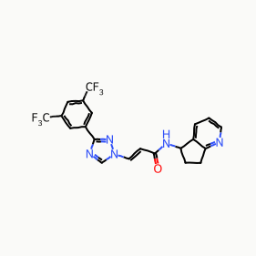 O=C(C=Cn1cnc(-c2cc(C(F)(F)F)cc(C(F)(F)F)c2)n1)NC1CCc2ncccc21